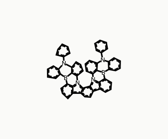 c1ccc(N2c3ccccc3B3c4c2cccc4-n2c4c3cccc4c3ccc4c5cccc6c5n(c4c32)-c2cccc3c2B6c2ccccc2N3c2ccccc2)cc1